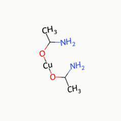 CC(N)[O][Cu][O]C(C)N